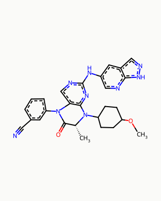 COC1CCC(N2c3nc(Nc4cnc5[nH]ncc5c4)ncc3N(c3cccc(C#N)c3)C(=O)[C@H]2C)CC1